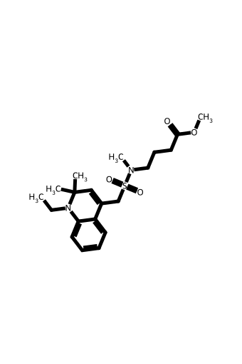 CCN1c2ccccc2C(CS(=O)(=O)N(C)CCCC(=O)OC)=CC1(C)C